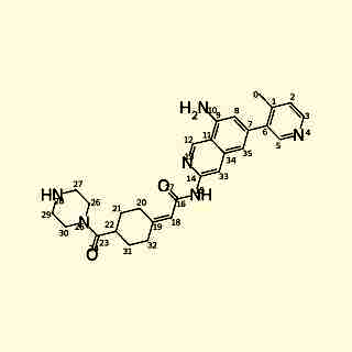 Cc1ccncc1-c1cc(N)c2cnc(NC(=O)C=C3CCC(C(=O)N4CCNCC4)CC3)cc2c1